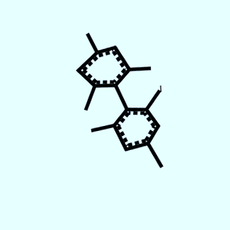 Cc1cc(C)c(-c2c(C)cc(C)cc2I)c(C)c1